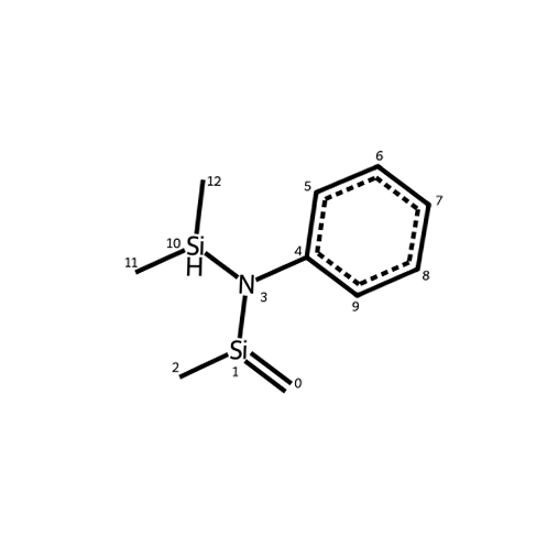 C=[Si](C)N(c1ccccc1)[SiH](C)C